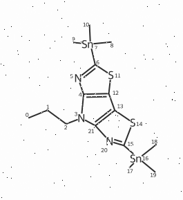 CCCn1c2n[c]([Sn]([CH3])([CH3])[CH3])sc2c2s[c]([Sn]([CH3])([CH3])[CH3])nc21